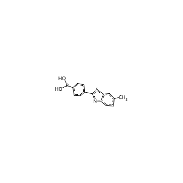 Cc1ccc2nc(-c3ccc(B(O)O)cc3)sc2c1